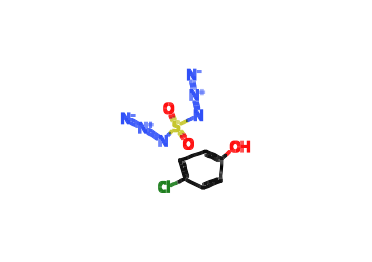 Oc1ccc(Cl)cc1.[N-]=[N+]=NS(=O)(=O)N=[N+]=[N-]